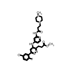 COC(=O)CCc1nnc(-c2cc(Cl)ccc2F)cc1Nc1ccnc(NC(=O)CCN2CCN(C)CC2)c1